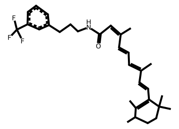 CC1=C(/C=C/C(C)=C/C=C/C(C)=C\C(=O)NCCCc2cccc(C(F)(F)F)c2)C(C)(C)CCC1C